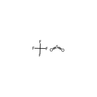 FC(F)(F)F.O=S=O